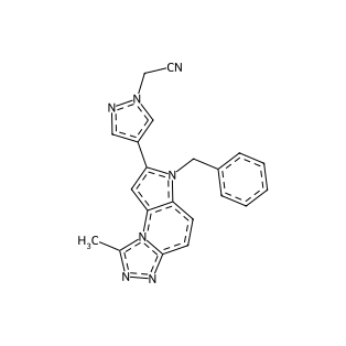 Cc1nnc2ccc3c(cc(-c4cnn(CC#N)c4)n3Cc3ccccc3)n12